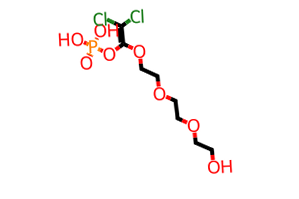 O=P(O)(O)OC(OCCOCCOCCO)=C(Cl)Cl